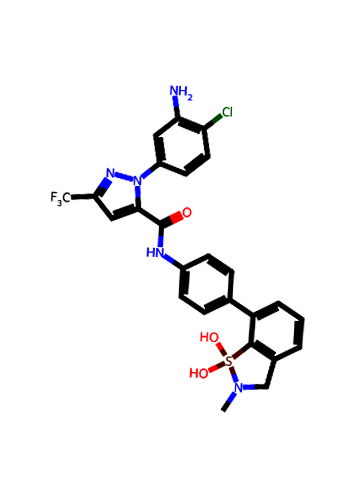 CN1Cc2cccc(-c3ccc(NC(=O)c4cc(C(F)(F)F)nn4-c4ccc(Cl)c(N)c4)cc3)c2S1(O)O